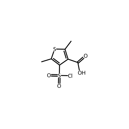 Cc1sc(C)c(S(=O)(=O)Cl)c1C(=O)O